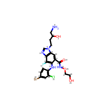 NCC(O)CCn1cnc2c(F)c(Nc3ccc(Br)cc3Cl)c(C(=O)NOCCO)cc21